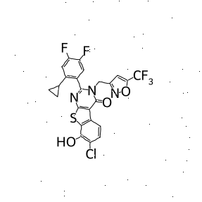 O=c1c2c(nc(-c3cc(F)c(F)cc3C3CC3)n1Cc1cc(C(F)(F)F)on1)sc1c(O)c(Cl)ccc12